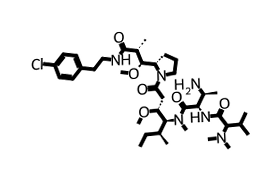 CC[C@H](C)[C@@H]([C@@H](CC(=O)N1CCC[C@H]1[C@H](OC)[C@@H](C)C(=O)NCCc1ccc(Cl)cc1)OC)N(C)C(=O)[C@@H](NC(=O)C(C(C)C)N(C)C)[C@H](C)N